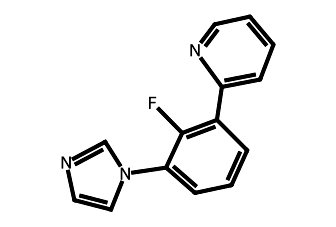 Fc1c(-c2ccccn2)cccc1-n1ccnc1